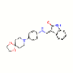 O=C1Nc2ccccc2C1=CNc1ccc(N2CCC3(CC2)OCCO3)cc1